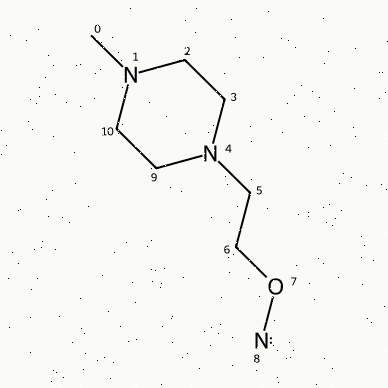 CN1CCN(CCO[N])CC1